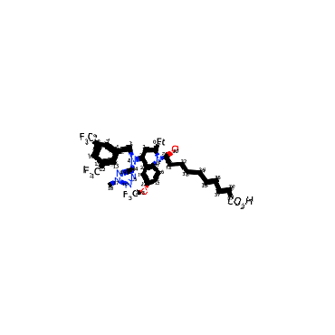 CCC1CC(N(Cc2cc(C(F)(F)F)cc(C(F)(F)F)c2)c2nnn(C)n2)c2cc(OC(F)(F)F)ccc2N1C(=O)CCCCCCCCC(=O)O